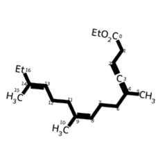 CCOC(=O)CC=C=C(C)CCC=C(C)CCC=C(C)CC